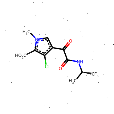 C[C@@H](NC(=O)C(=O)c1cn(C)c(C(=O)O)c1Cl)C(F)(F)F